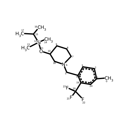 Cc1ccc(CN2CCCC(O[Si](C)(C)C(C)C)C2)c(C(F)(F)F)c1